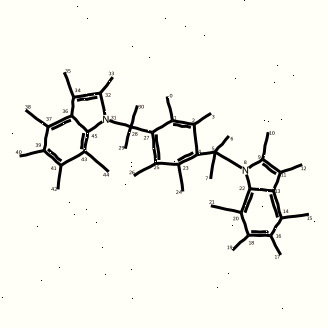 Cc1c(C)c(C(C)(C)n2c(C)c(C)c3c(C)c(C)c(C)c(C)c32)c(C)c(C)c1C(C)(C)n1c(C)c(C)c2c(C)c(C)c(C)c(C)c21